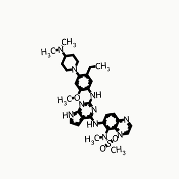 CCc1cc(Nc2nc(Nc3ccc4nccnc4c3N(C)S(C)(=O)=O)c3cc[nH]c3n2)c(OC)cc1N1CCC(N(C)C)CC1